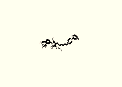 CC1=C(CCCCCCN2CCN(c3cnccn3)CC2)C(=O)N(c2ccc(C#N)c(C(F)(F)F)c2)C1=O